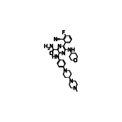 CN1CCN(C2CCN(c3ccc(Nc4nc(NC5CCOCC5)c(-c5cccc(F)c5C#N)nc4C(N)=O)cc3)CC2)CC1